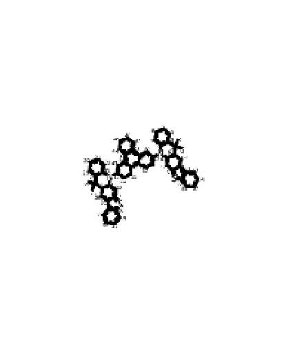 CC1(C)c2ccccc2N(c2ccc3c4ccc(N5c6ccccc6C(C)(C)c6cc7c(cc65)sc5ccccc57)cc4c4ccccc4c3c2)c2cc3sc4ccccc4c3cc21